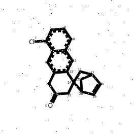 O=C1Cc2cc3c(Cl)cccc3cc2C2(C1)CC1C=CC2C1